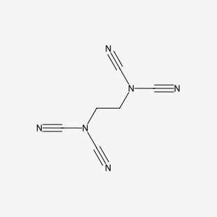 N#CN(C#N)CCN(C#N)C#N